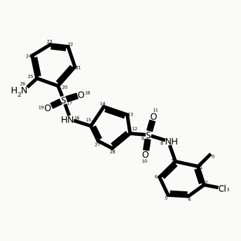 Cc1c(Cl)cccc1NS(=O)(=O)c1ccc(NS(=O)(=O)c2ccccc2N)cc1